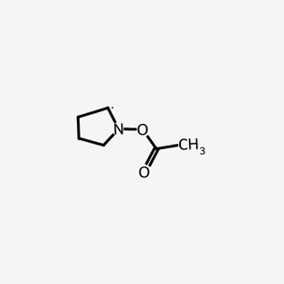 CC(=O)ON1[CH]CCC1